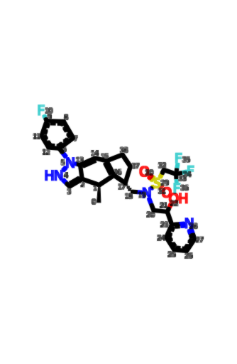 C[C@H]1C2=CNN(c3ccc(F)cc3)C2=CC2=C1[C@@H](CN(CC(O)c1ccccn1)S(=O)(=O)CC(F)(F)F)CC2